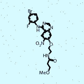 COCCC(=O)NCCOc1cc2ncnc(Nc3ccc(Br)cc3F)c2cc1[N+](=O)[O-]